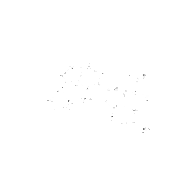 COC(=O)Nc1c(F)cc(-c2cnc3[nH]cc(-c4ccccc4OC)c3c2)cc1C(=O)N(C)C